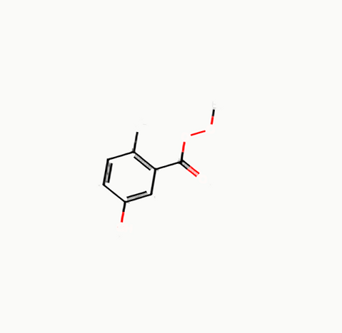 CCOOC(=O)c1cc(O)ccc1C(F)(F)F